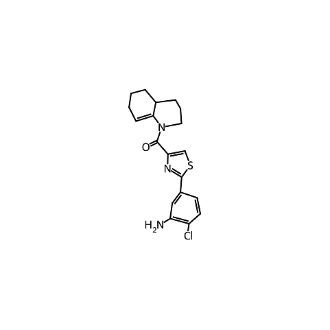 Nc1cc(-c2nc(C(=O)N3CCCC4CCCC=C43)cs2)ccc1Cl